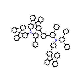 c1ccc(-c2cccc(N(c3ccc4c(c3)C3(c5ccccc5-c5ccccc53)c3ccccc3-4)c3ccc4c(c3)C3(c5ccccc5-c5cc(-c6cccc(-c7cc(-c8ccccc8)cc(N(c8ccc(-c9ccc%10c(c9)C9(c%11ccccc%11-c%11ccccc%119)c9ccccc9-%10)cc8)c8cc(-c9ccccc9)cc(-c9ccccc9)c8)c7)c6)ccc53)c3ccccc3-4)c2)cc1